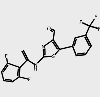 C=C(Nc1nc(C=O)c(-c2cccc(C(F)(F)F)c2)s1)c1c(F)cccc1F